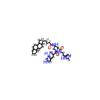 C[C@H](CCC(=O)N[C@H]1C[C@@H](C(=O)NCCc2cnc[nH]2)N(C(=O)C(N)Cc2c[nH]cn2)C1)[C@H]1CCC2C3CCC4CCCC[C@]4(C)C3CC[C@@]21C